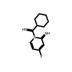 N=C(C1CCCCC1)n1ccc(F)cc1=N